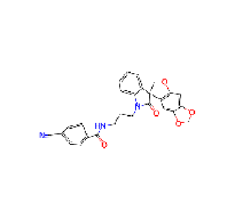 N#Cc1ccc(C(=O)NCCCN2C(=O)C3(COc4cc5c(cc43)OCO5)c3ccccc32)cc1